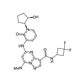 CNc1cc(Nc2cccn([C@H]3CCC[C@H]3O)c2=O)nc2c(C(=O)NC3CC(F)(F)C3)cnn12